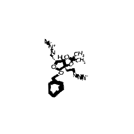 CC1(C)O[C@@H]2[C@@H](CN=[N+]=[N-])O[C@@H](OCc3ccccc3)[C@]2(CCN=[N+]=[N-])O1